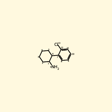 NC1CCCCC1c1ccccc1Cl